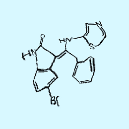 O=C1Nc2ccc(Br)cc2/C1=C(/Nc1cncs1)c1ccccc1